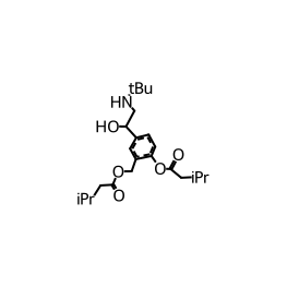 CC(C)CC(=O)OCc1cc(C(O)CNC(C)(C)C)ccc1OC(=O)CC(C)C